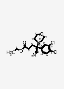 CCOC(=O)CCC(C#N)(c1ccc(Cl)c(Cl)c1)N1CCOCC1